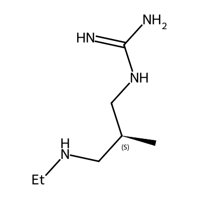 CCNC[C@H](C)CNC(=N)N